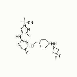 Cc1nn(C(C)(C)C#N)cc1Nc1ncc(Cl)c(OCC2CCC(NC3CC(F)(F)C3)CC2)n1